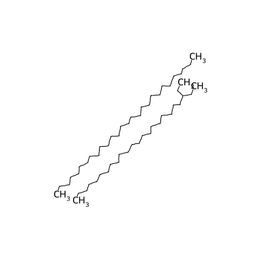 CCCCCCCCCCCCCCCCCCCCCC(CC)CC.CCCCCCCCCCCCCCCCCCCCCCCCCCCC